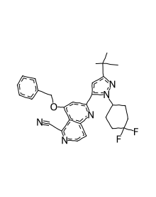 CC(C)(C)c1cc(-c2cc(OCc3ccccc3)c3c(C#N)nccc3n2)n(C2CCC(F)(F)CC2)n1